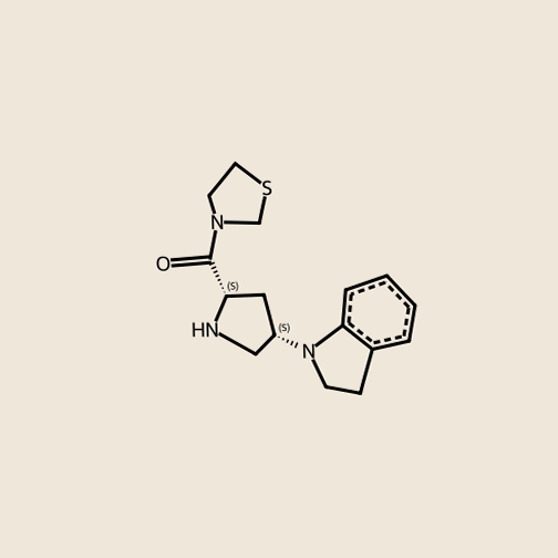 O=C([C@@H]1C[C@H](N2CCc3ccccc32)CN1)N1CCSC1